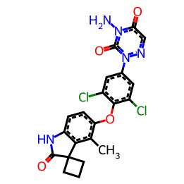 Cc1c(Oc2c(Cl)cc(-n3ncc(=O)n(N)c3=O)cc2Cl)ccc2c1C1(CCC1)C(=O)N2